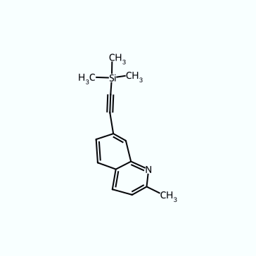 Cc1ccc2ccc(C#C[Si](C)(C)C)cc2n1